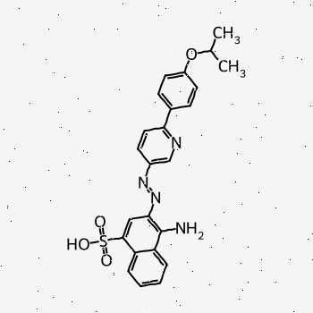 CC(C)Oc1ccc(-c2ccc(N=Nc3cc(S(=O)(=O)O)c4ccccc4c3N)cn2)cc1